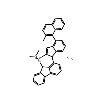 CCC1=Cc2c(-c3c(C)ccc4ccccc34)cccc2C1c1cccc2c1[CH]([Zr+2][SiH](C)C)c1ccccc1-2.[Cl-].[Cl-]